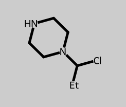 CCC(Cl)N1CCNCC1